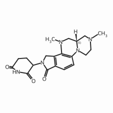 CN1CCN2c3ccc4c(c3N(C)C[C@@H]2C1)CN(C1CCC(=O)NC1=O)C4=O